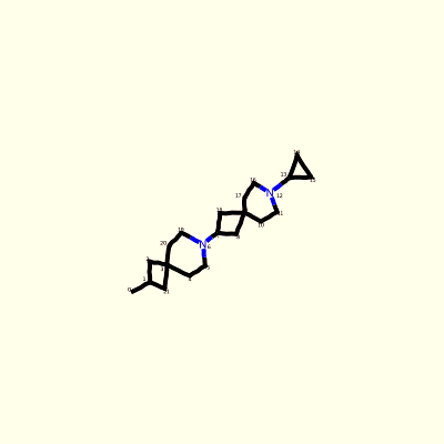 CC1CC2(CCN(C3CC4(CCN(C5CC5)CC4)C3)CC2)C1